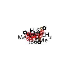 COC1C(C)C(Sc2ccccc2)OC(C)C1OC1OC(C)C(OC2OC(C)C(OC(=O)c3ccccc3)C(OC)C2OC(=O)C(C)(C)C)C(OC)C1Sc1ccccc1